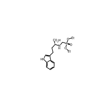 CCOP(=O)(CN[C@@H](CCc1c[nH]c2ccccc12)C(=O)O)OCC